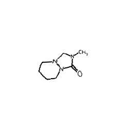 CN1CN2CCCCN2C1=O